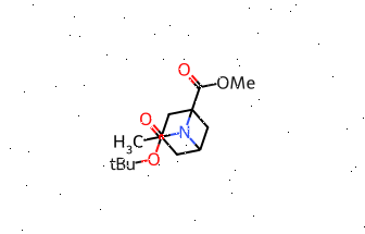 COC(=O)C12CC(C)CC(C1)N2C(=O)OC(C)(C)C